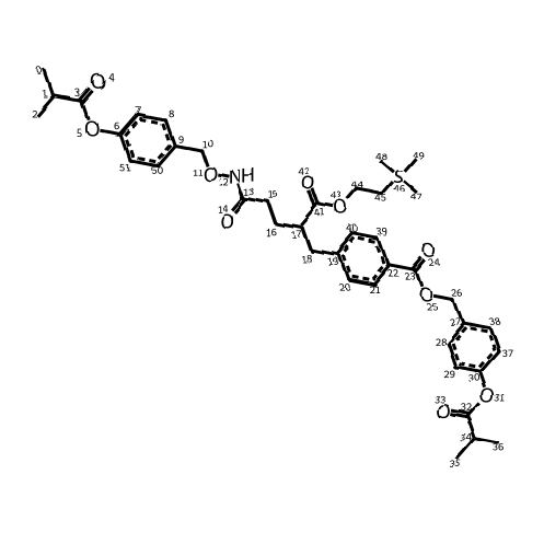 CC(C)C(=O)Oc1ccc(CONC(=O)CCC(Cc2ccc(C(=O)OCc3ccc(OC(=O)C(C)C)cc3)cc2)C(=O)OCCS(C)(C)C)cc1